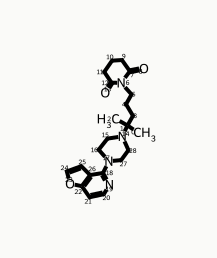 CC(C)(CCCN1C(=O)CCCC1=O)N1CCN(c2nccc3occc23)CC1